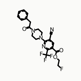 N#Cc1cc(C(=O)OCCF)c(C(F)(F)F)nc1N1CCN(C(=O)Cc2ccccc2)CC1